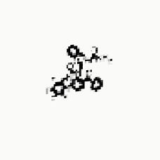 NC(=O)CN(Cc1ccccc1)C(=O)Cn1c(=O)n(Cc2c(F)c(F)c(F)c(F)c2F)c2cccc(C(=O)c3ccccc3)c21